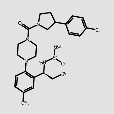 CC(C)C[C@H](N[S+]([O-])C(C)(C)C)c1cc(C(F)(F)F)ccc1N1CCN(C(=O)N2CCC(c3ccc(Cl)cc3)C2)CC1